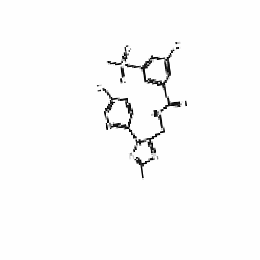 Cc1nc(CNC(=O)c2cc(Cl)cc(S(C)(=O)=O)c2)n(-c2ccc(Cl)cn2)n1